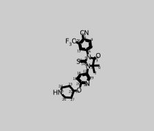 CC1(C)C(=O)N(c2ccc(C#N)c(C(F)(F)F)c2)C(=S)N1c1ccc(OC2CCNCC2)nc1